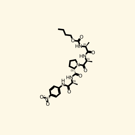 CCCCOC(=O)N[C@@H](C)C(=O)N[C@@H](C)C(=O)N1CCC[C@H]1C(=O)N[C@@H](C)C(=O)Nc1ccc([N+](=O)[O-])cc1